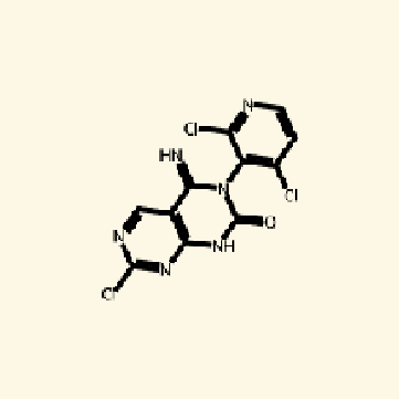 N=c1c2cnc(Cl)nc2[nH]c(=O)n1-c1c(Cl)ccnc1Cl